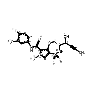 CC#C[C@H](O)[C@H]1COc2c(cn(C)c2C(=O)Nc2ccc(F)c(C(F)(F)F)c2)S(=O)(=O)N1